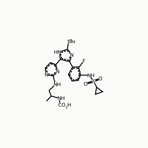 CC(CNc1nccc(-c2[nH]c(C(C)(C)C)nc2-c2cccc(NS(=O)(=O)C3CC3)c2F)n1)NC(=O)O